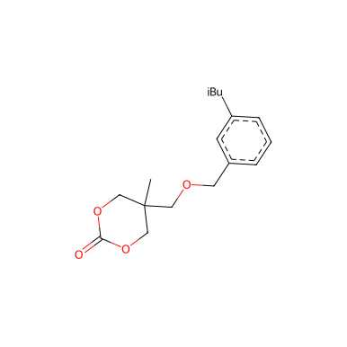 CCC(C)c1cccc(COCC2(C)COC(=O)OC2)c1